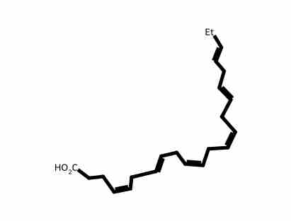 CC/C=C/C/C=C/C/C=C\C/C=C\C/C=C/C/C=C\CCC(=O)O